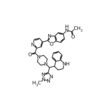 CC(=O)Nc1ccc2oc(-c3ccnc(C(=O)N4CCN(C(c5nnn(C)n5)C5CCNc6ccccc65)CC4)c3)nc2c1